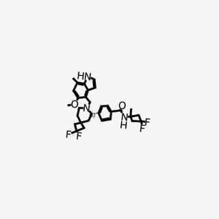 COc1cc(C)c2[nH]ccc2c1CN1CCC2(C[C@H]1c1ccc(C(=O)NC3(C)CC(F)(F)C3)cc1)CC(F)(F)C2